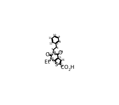 CCn1c(=O)n(CCc2ccccc2)c(=O)c2cc(C(=O)O)sc21